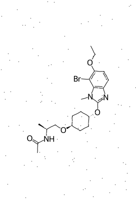 CCOc1ccc2nc(O[C@H]3CC[C@H](OC[C@H](C)NC(C)=O)CC3)n(C)c2c1Br